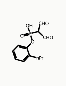 CCCc1ccccc1OP(=O)(O)C(C=O)C=O